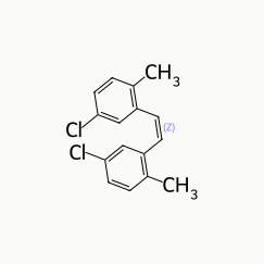 Cc1ccc(Cl)cc1/C=C\c1cc(Cl)ccc1C